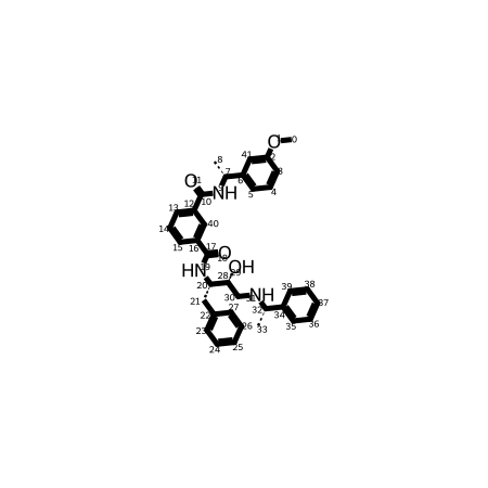 COc1cccc([C@@H](C)NC(=O)c2cccc(C(=O)N[C@@H](Cc3ccccc3)[C@H](O)CN[C@@H](C)c3ccccc3)c2)c1